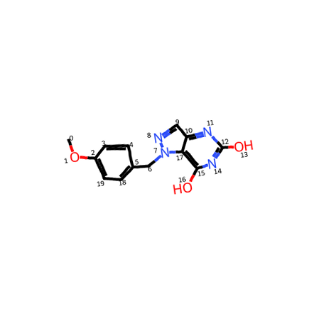 COc1ccc(Cn2ncc3nc(O)nc(O)c32)cc1